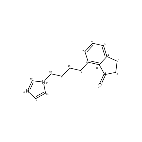 O=C1CCc2cccc(CCCCn3ccnc3)c21